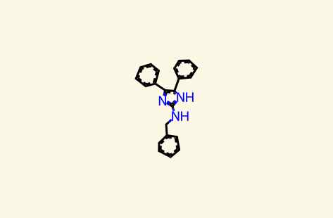 c1ccc(CNc2nc(-c3ccccc3)c(-c3ccccc3)[nH]2)cc1